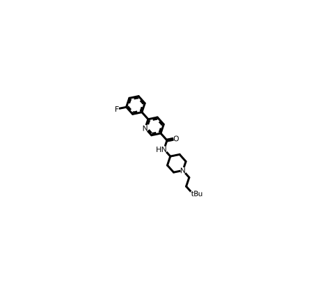 CC(C)(C)CCN1CCC(NC(=O)c2ccc(-c3cccc(F)c3)nc2)CC1